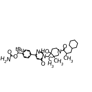 CC(CC1CCCCC1)C(=O)N1CCC(O)(Cn2cnc(-c3ccc(C(OC(N)=O)C(C)(C)C)cc3)cc2=O)C(C)(C)C1